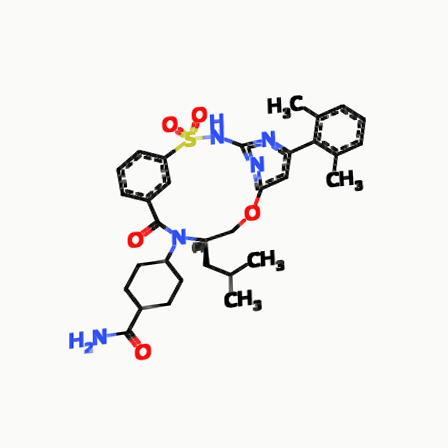 Cc1cccc(C)c1-c1cc2nc(n1)NS(=O)(=O)c1cccc(c1)C(=O)N(C1CCC(C(N)=O)CC1)[C@H](CC(C)C)CO2